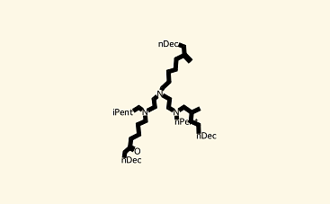 C=C(CCCCCCCCCCC)CCCCCN(CCN(CCCCC(=O)CCCCCCCCCCC)CC(C)CCC)CCN(CCCCC)CC(C)CCCCCCCCCCCC